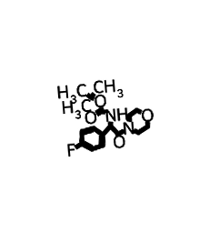 CC(C)(C)OC(=O)NC(C(=O)N1CCOCC1)c1ccc(F)cc1